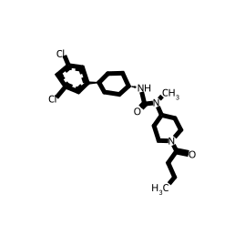 CCCC(=O)N1CCC(N(C)C(=O)N[C@H]2CC[C@H](c3cc(Cl)cc(Cl)c3)CC2)CC1